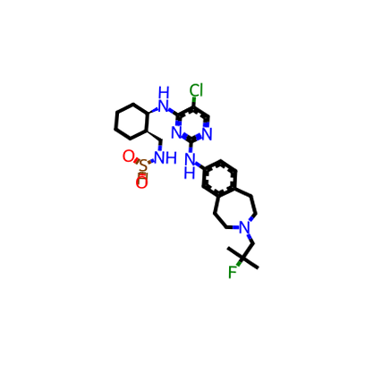 CC(C)(F)CN1CCc2ccc(Nc3ncc(Cl)c(N[C@@H]4CCCC[C@@H]4CN[SH](=O)=O)n3)cc2CC1